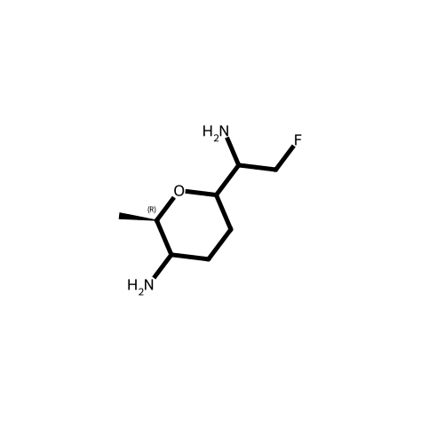 C[C@H]1OC(C(N)CF)CCC1N